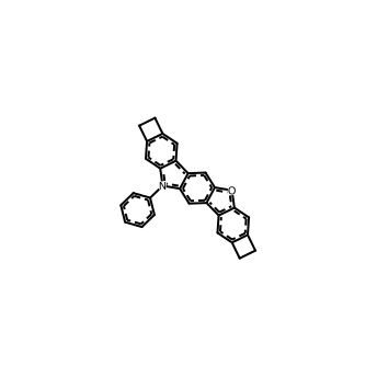 c1ccc(-n2c3cc4c(cc3c3cc5oc6cc7c(cc6c5cc32)CC7)CC4)cc1